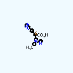 CC1CCC([N+]2(Cc3ccccn3)CC=C(c3cc(-c4ccc(-c5cc6ncccn6n5)cc4)sc3C(=O)O)CC2)CC1